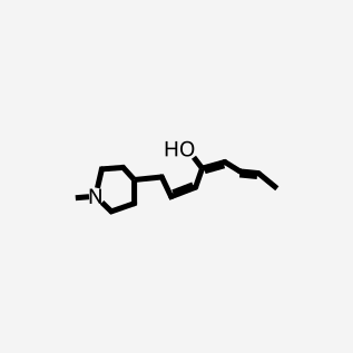 C/C=C/C=C(O)\C=C/CC1CCN(C)CC1